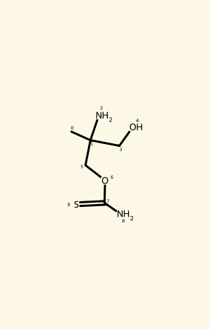 CC(N)(CO)COC(N)=S